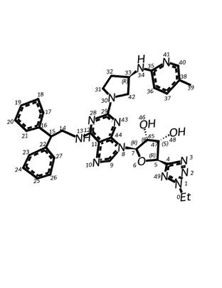 CCn1nnc([C@H]2O[C@@H](n3cnc4c(NCC(c5ccccc5)c5ccccc5)nc(N5CC[C@@H](Nc6ccc(C)cn6)C5)nc43)[C@H](O)[C@@H]2O)n1